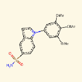 COc1cc(-n2ccc3cc(S(N)(=O)=O)ccc32)cc(OC)c1OC